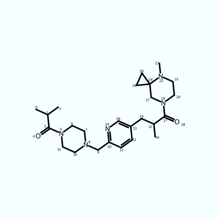 CC(C)C(=O)N1CCN(Cc2ccc(CC(C)C(=O)N3CCN(C)C4(CC4)C3)cn2)CC1